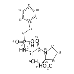 C[C@H](NP(=O)(O)CCc1ccccc1)C(=O)N1CCC[C@H]1C(=O)O